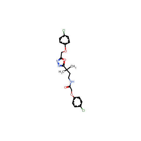 CC(C)(CCNC(=O)COc1ccc(Cl)cc1)c1nnc(COc2ccc(Cl)cc2)o1